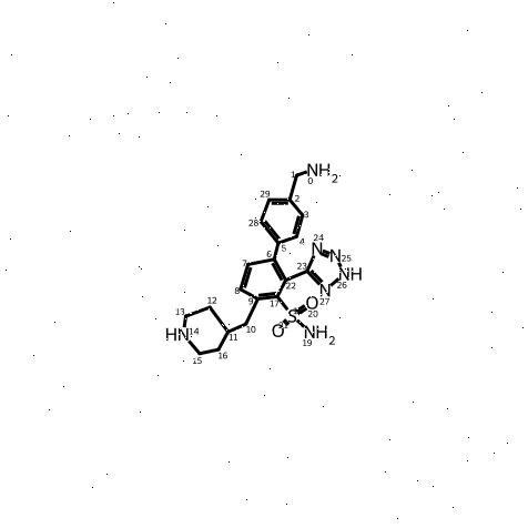 NCc1ccc(-c2ccc(CC3CCNCC3)c(S(N)(=O)=O)c2-c2nn[nH]n2)cc1